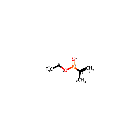 C=C(C)[PH](=O)OCC(F)(F)F